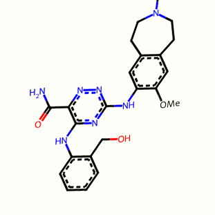 COc1cc2c(cc1Nc1nnc(C(N)=O)c(Nc3ccccc3CO)n1)CCN(C)CC2